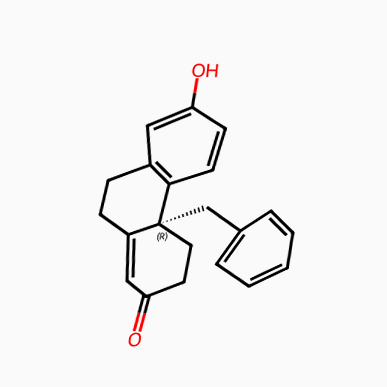 O=C1C=C2CCc3cc(O)ccc3[C@@]2(Cc2ccccc2)CC1